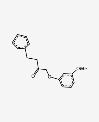 COc1cccc(OCC(=O)CCc2ccccc2)c1